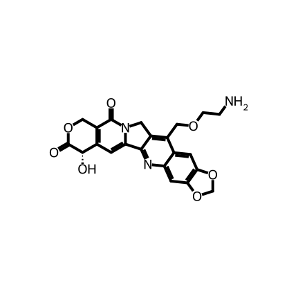 NCCOCc1c2c(nc3cc4c(cc13)OCO4)-c1cc3c(c(=O)n1C2)COC(=O)[C@H]3O